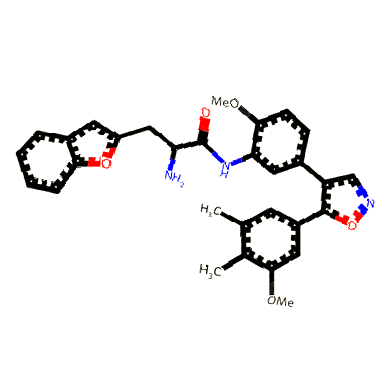 COc1ccc(-c2cnoc2-c2cc(C)c(C)c(OC)c2)cc1NC(=O)C(N)Cc1cc2ccccc2o1